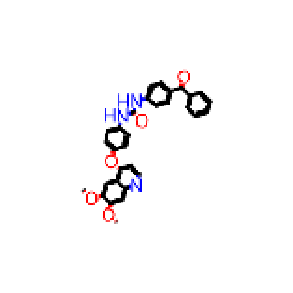 COc1cc2nccc(Oc3ccc(NC(=O)Nc4ccc(C(=O)c5ccccc5)cc4)cc3)c2cc1OC